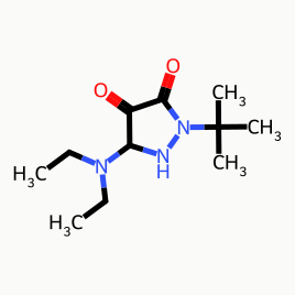 CCN(CC)C1NN(C(C)(C)C)C(=O)C1=O